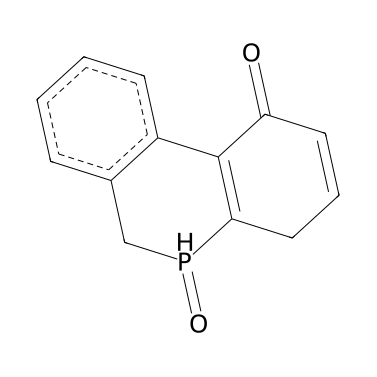 O=C1C=CCC2=C1c1ccccc1C[PH]2=O